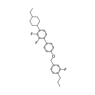 CCCc1ccc(COc2ccc(-c3ccc(C4CCC(CC)CC4)c(F)c3F)cc2)cc1F